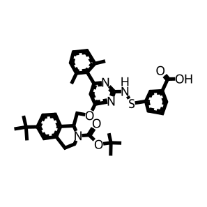 Cc1cccc(C)c1-c1cc(OCC2c3ccc(C(C)(C)C)cc3CCN2C(=O)OC(C)(C)C)nc(NSc2cccc(C(=O)O)c2)n1